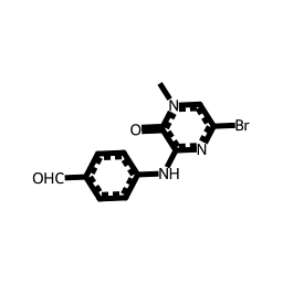 Cn1cc(Br)nc(Nc2ccc(C=O)cc2)c1=O